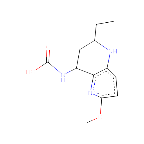 CCC1CC(NC(=O)O)c2nc(OC)ccc2N1